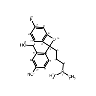 CN(C)CCCC1(c2ccc(C#N)cc2CO)Oc2cc(F)ccc21